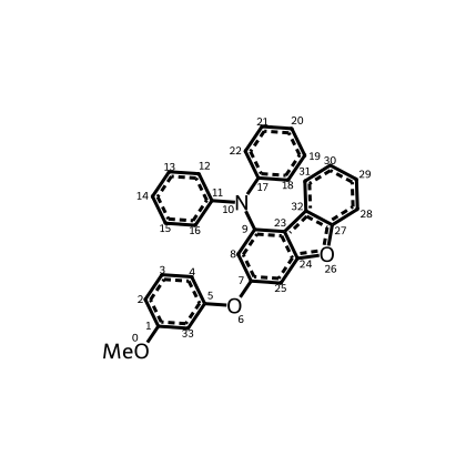 COc1cccc(Oc2cc(N(c3ccccc3)c3ccccc3)c3c(c2)oc2ccccc23)c1